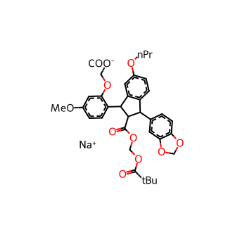 CCCOc1ccc2c(c1)C(c1ccc(OC)cc1OCC(=O)[O-])C(C(=O)OCOC(=O)C(C)(C)C)C2c1ccc2c(c1)OCO2.[Na+]